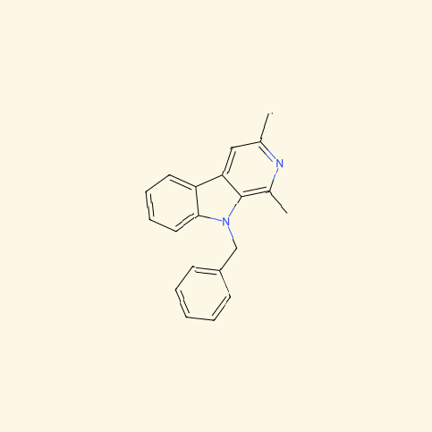 [CH2]c1cc2c3ccccc3n(Cc3ccccc3)c2c(C)n1